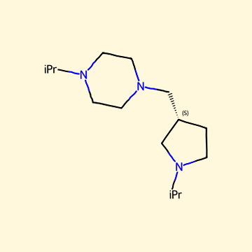 CC(C)N1CCN(C[C@@H]2CCN(C(C)C)C2)CC1